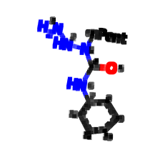 CCCCCN(NN)C(=O)Nc1ccccc1